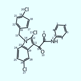 O=C(Nc1ccccc1)C(=O)c1c(Cl)n(Cc2ccc(Cl)cc2)c2ccc(Cl)cc12